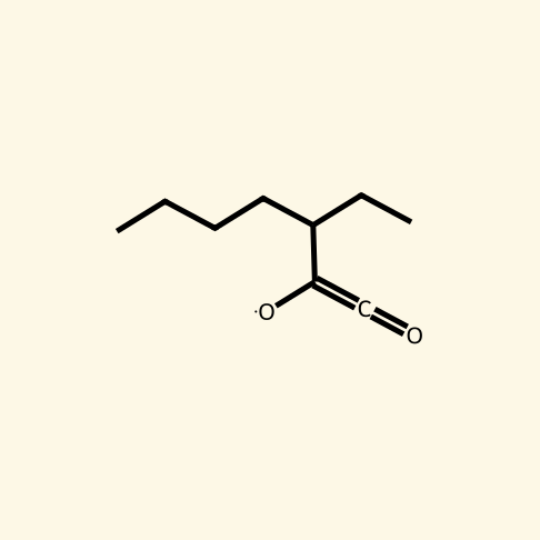 CCCCC(CC)C([O])=C=O